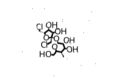 C[C@H]1C(CO)O[C@@H](O[C@]2(CCl)O[C@H](CCl)[C@H](O)C2O)[C@@H](O)C1O